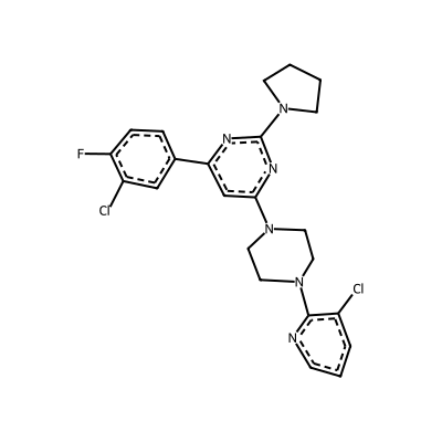 Fc1ccc(-c2cc(N3CCN(c4ncccc4Cl)CC3)nc(N3CCCC3)n2)cc1Cl